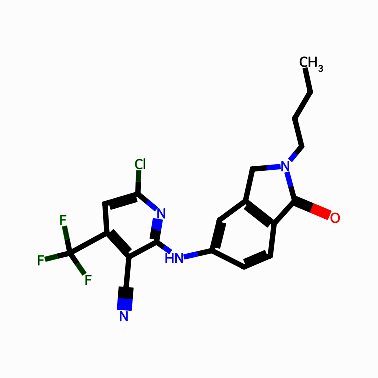 CCCCN1Cc2cc(Nc3nc(Cl)cc(C(F)(F)F)c3C#N)ccc2C1=O